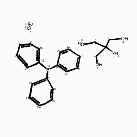 Cl.NC(CO)(CO)CO.[Ru].c1ccc(P(c2ccccc2)c2ccccc2)cc1